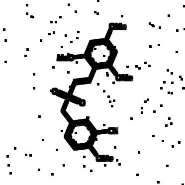 COc1cc(OC)c(C=CS(=O)(=O)Cc2ccc(OC)c(C#N)c2)c(OC)c1